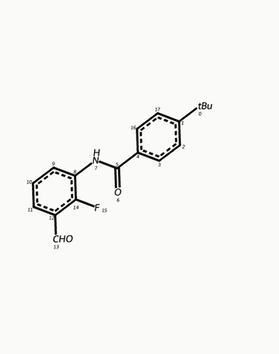 CC(C)(C)c1ccc(C(=O)Nc2cccc(C=O)c2F)cc1